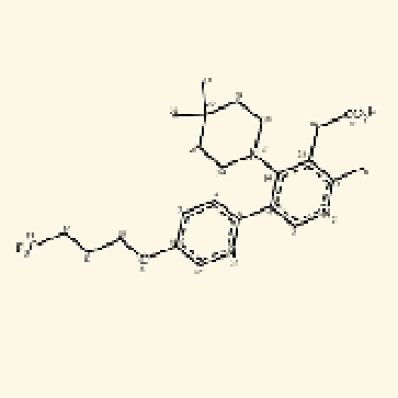 Cc1ncc(-c2ccc(OCCCC(F)(F)F)cn2)c(N2CCC(C)(C)CC2)c1CC(=O)O